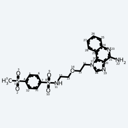 CS(=O)(=O)c1ccc(S(=O)(=O)NCCOCCn2cnc3c(N)nc4ccccc4c32)cc1